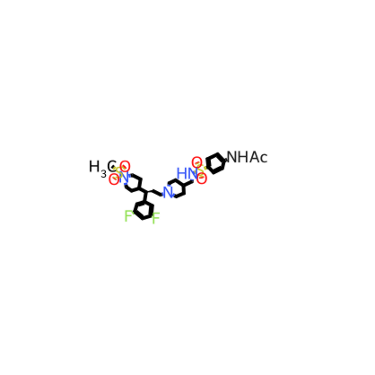 CC(=O)Nc1ccc(S(=O)(=O)NCC2CCN(CC[C@@H](c3cc(F)cc(F)c3)C3CCN(S(C)(=O)=O)CC3)CC2)cc1